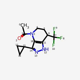 CC(=O)N1CCC(C(F)(F)F)c2[nH]nc(C3CC3)c21